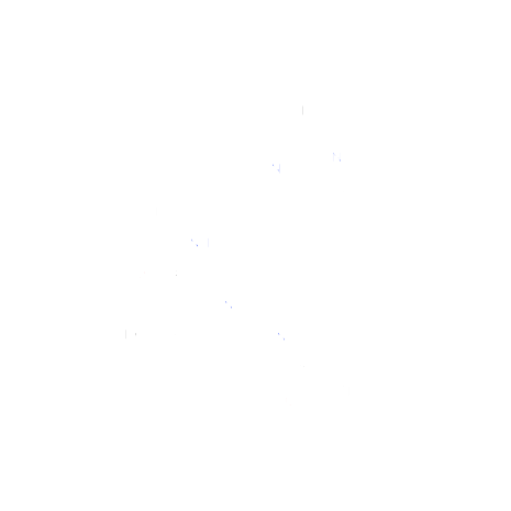 CNC(=O)c1nc(N2C(=O)C(C)(C)c3ccc(C4C=NC(C)=NC4)cc32)ccc1C